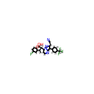 CC(c1cccc(F)c1)[C@@](C)(C(=O)O)c1ccnc2c(-c3ccc(C(F)(F)F)cc3)c(CC#N)nn12